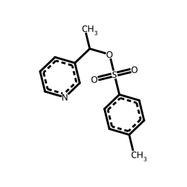 Cc1ccc(S(=O)(=O)OC(C)c2cccnc2)cc1